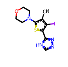 N#Cc1c(N2CCOCC2)sc(-c2nnc[nH]2)c1I